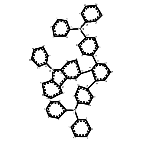 c1ccc(N(c2ccccc2)c2ccc(-c3cccc(-c4ccc(N(c5ccccc5)c5ccccc5)cc4)c3-c3ccc4c(c3)c3ccccc3n4-c3ccccc3)cc2)cc1